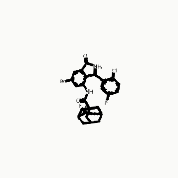 O=C1NC(c2cc(F)ccc2Cl)c2c(NC(=O)C34CC5CC(C3)C(F)(F)C(C5)C4)cc(Br)cc21